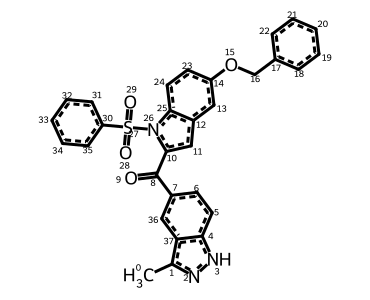 Cc1n[nH]c2ccc(C(=O)c3cc4cc(OCc5ccccc5)ccc4n3S(=O)(=O)c3ccccc3)cc12